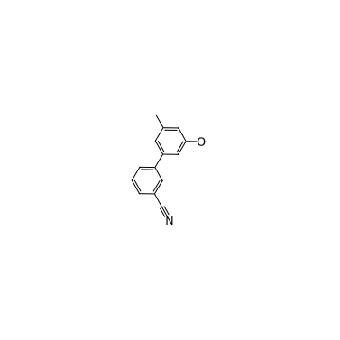 Cc1cc([O])cc(-c2cccc(C#N)c2)c1